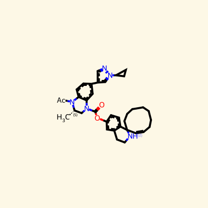 CC(=O)N1c2ccc(-c3cnn(C4CC4)c3)cc2N(C(=O)Oc2ccc3c(c2)CCNC32/C=C\CCCCCCC2)C[C@@H]1C